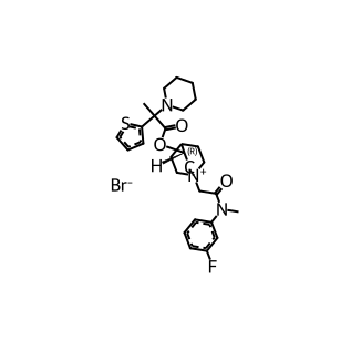 CN(C(=O)C[N+]12CCC(CC1)[C@@H](OC(=O)C(C)(c1cccs1)N1CCCCC1)C2)c1cccc(F)c1.[Br-]